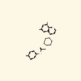 O=C(C[C@H]1CC[C@@H](c2ccnc3c(F)cc(F)cc32)CC1)Nc1ccc(F)cc1